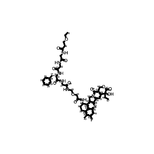 CCOCCC(=O)NCC(=O)NCC(=O)N[C@@H](Cc1ccccc1)C(=O)NCC(=O)NCOCC(=O)N[C@H]1CCc2c(C)c(F)cc3nc4c(c1c23)Cn1c-4cc2c(c1=O)COC(=O)[C@]2(O)CC